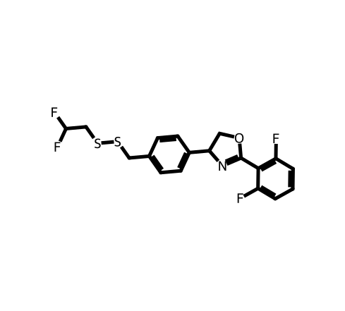 Fc1cccc(F)c1C1=NC(c2ccc(CSSCC(F)F)cc2)CO1